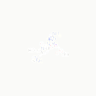 CC(C)(C)OC(=O)CO/N=C(\C(=O)NC1C(=O)N2C(C(=O)O)=C(CSN3NC=CS3)CS[C@H]12)c1nsc(N)n1